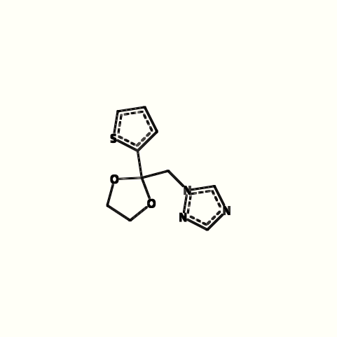 c1csc(C2(Cn3cncn3)OCCO2)c1